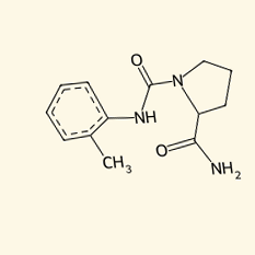 Cc1ccccc1NC(=O)N1CCCC1C(N)=O